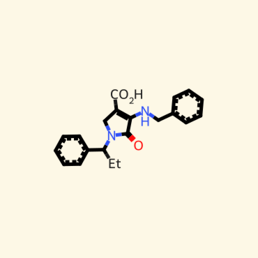 CCC(c1ccccc1)N1CC(C(=O)O)=C(NCc2ccccc2)C1=O